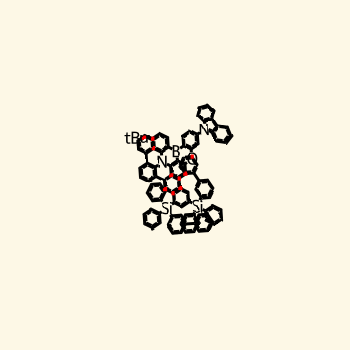 CC(C)(C)c1ccc2c(c1)N(c1c(-c3ccccc3)cccc1-c1ccccc1)c1cc(-c3cc([Si](c4ccccc4)(c4ccccc4)c4cccc(-c5ccccc5)c4)cc([Si](c4ccccc4)(c4ccccc4)c4cccc(-c5ccccc5)c4)c3)cc3c1B2c1ccc(-n2c4ccccc4c4ccccc42)cc1O3